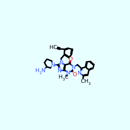 C#Cc1ccccc1Cn1c(N2CCCC(N)C2)nc2c1c(=O)n(Cc1nc(C)cc3ccccc13)c(=O)n2C